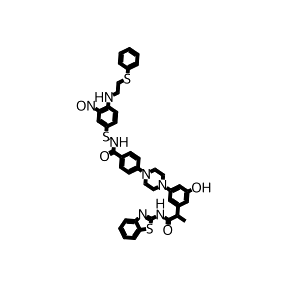 CC(C(=O)Nc1nc2ccccc2s1)c1cc(O)cc(N2CCN(c3ccc(C(=O)NSc4ccc(NCCSc5ccccc5)c(N=O)c4)cc3)CC2)c1